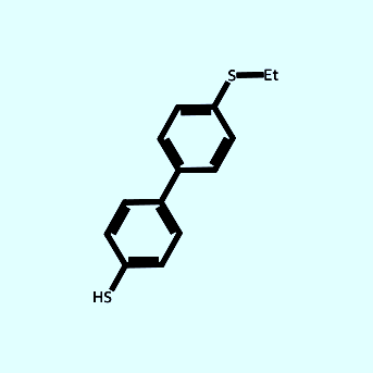 CCSc1ccc(-c2ccc(S)cc2)cc1